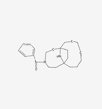 O=C(c1ccccc1)N1CCC23CCCCCCCC(CC1)(CC2)N3